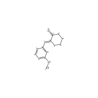 CCOc1cccc(C=C2CCCCC2=O)c1